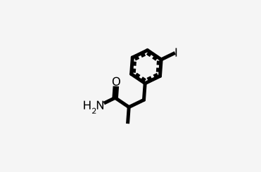 CC(Cc1cccc(I)c1)C(N)=O